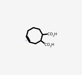 O=C(O)C1C/C=C\CCCC1C(=O)O